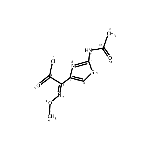 CON=C(C(=O)Cl)c1csc(NC(C)=O)n1